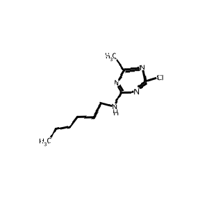 CCCCCCNc1nc(C)nc(Cl)n1